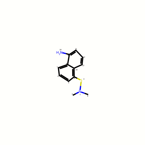 CN(C)Sc1cccc2c(N)cccc12